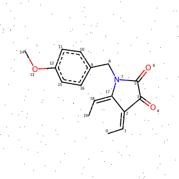 C/C=C1/C(=O)C(=O)N(Cc2ccc(OC)cc2)/C1=C/C